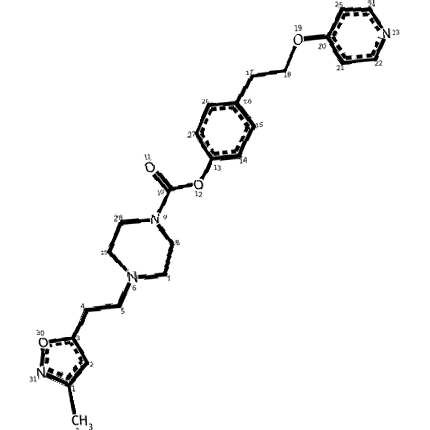 Cc1cc(CCN2CCN(C(=O)Oc3ccc(CCOc4ccncc4)cc3)CC2)on1